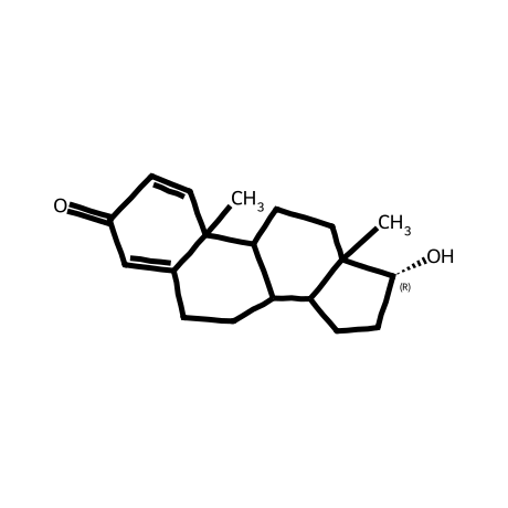 CC12C=CC(=O)C=C1CCC1C2CCC2(C)C1CC[C@H]2O